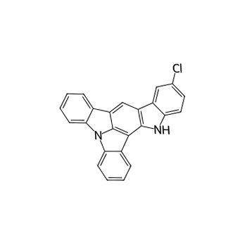 Clc1ccc2[nH]c3c(cc4c5ccccc5n5c6ccccc6c3c45)c2c1